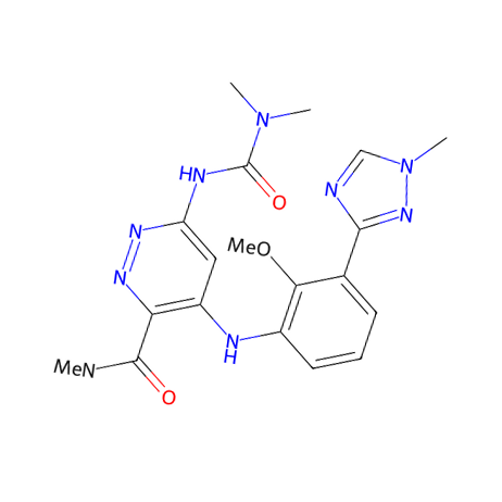 CNC(=O)c1nnc(NC(=O)N(C)C)cc1Nc1cccc(-c2ncn(C)n2)c1OC